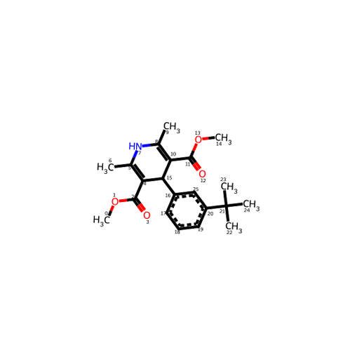 COC(=O)C1=C(C)NC(C)=C(C(=O)OC)C1c1cccc(C(C)(C)C)c1